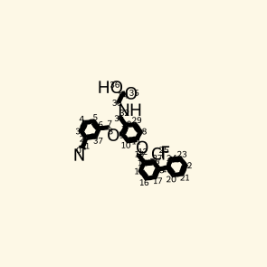 N#Cc1cccc(COc2cc(OCc3cccc(-c4ccccc4F)c3Cl)ccc2CNCC(=O)O)c1